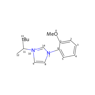 COc1ccccc1-n1cc[n+](C(C)C(C)(C)C)c1